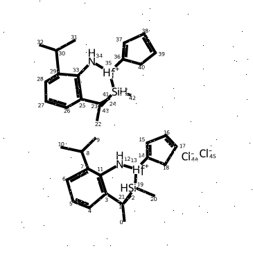 CC(C)c1cccc(C(C)C)c1[NH][Hf+]([C]1=CC=CC1)[SiH](C)C.CC(C)c1cccc(C(C)C)c1[NH][Hf+]([C]1=CC=CC1)[SiH](C)C.[Cl-].[Cl-]